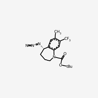 Cc1cc2c(cc1C(F)(F)F)N(C(=O)OC(C)(C)C)CCC[C@@H]2N=[N+]=[N-]